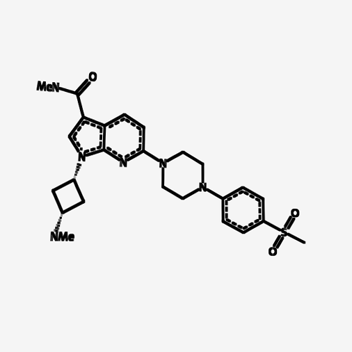 CNC(=O)c1cn([C@H]2C[C@@H](NC)C2)c2nc(N3CCN(c4ccc(S(C)(=O)=O)cc4)CC3)ccc12